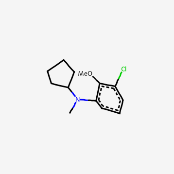 COc1c(Cl)cccc1N(C)C1CCCC1